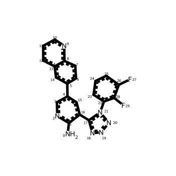 Nc1ncc(-c2ccc3ncccc3c2)cc1-c1nnnn1-c1cccc(F)c1F